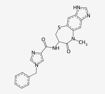 CN1C(=O)C(NC(=O)c2cn(Cc3ccccc3)cn2)CSc2cc3[nH]cnc3cc21